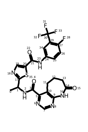 CC(NC(=O)c1ncnc2c1CCCC(=O)N2)c1ncc(C(=O)Nc2ccc(F)c(C(F)(F)F)c2)s1